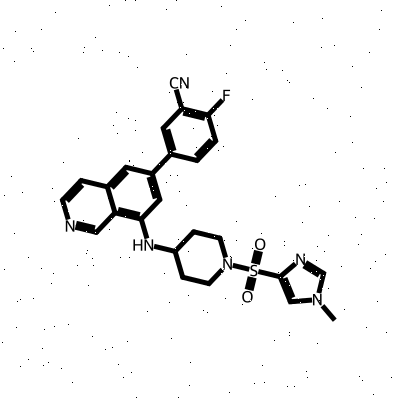 Cn1cnc(S(=O)(=O)N2CCC(Nc3cc(-c4ccc(F)c(C#N)c4)cc4ccncc34)CC2)c1